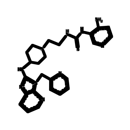 Nc1ccncc1NC(=S)NCCN1CCC(Nc2nc3cccnc3n2Cc2ccccn2)CC1